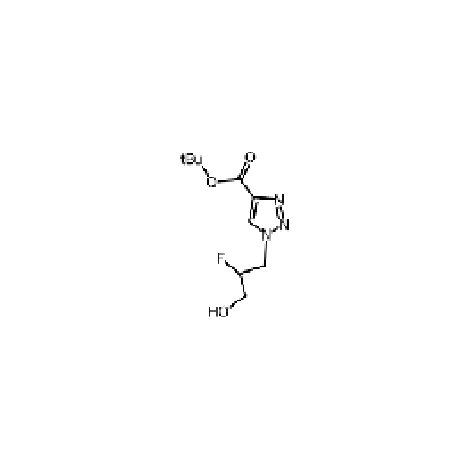 CC(C)(C)OC(=O)c1cn(CC(F)CO)nn1